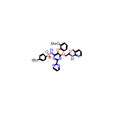 COc1ccccc1Oc1c(NS(=O)(=O)c2ccc(C(C)(C)C)cc2)nc(-c2ncccn2)nc1OCC(=O)Nc1ncccc1C